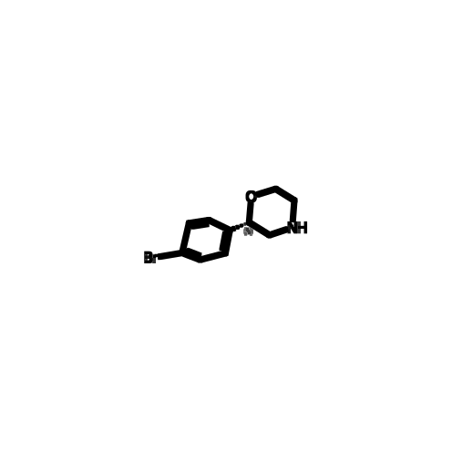 Brc1ccc([C@H]2CNCCO2)cc1